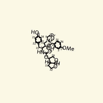 COc1ccc(S(=O)(=O)N(CC(C)C)C[C@@H](O)[C@H](Cc2ccc(O)cc2)NC(=O)O[C@H]2CO[C@H]3OCC[C@H]32)cc1